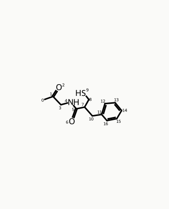 CC(=O)CNC(=O)C(CS)Cc1ccccc1